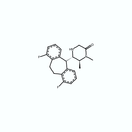 C[C@H]1[C@H](C2c3cccc(F)c3CCc3c(F)cccc32)NCC(=O)N1C